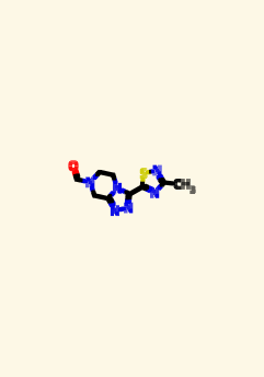 Cc1nsc(-c2nnc3n2CCN(C=O)C3)n1